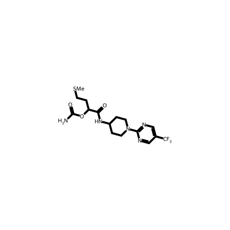 CSCCC(OC(N)=O)C(=O)NC1CCN(c2ncc(C(F)(F)F)cn2)CC1